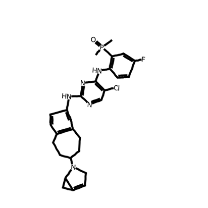 CP(C)(=O)c1cc(F)ccc1Nc1nc(Nc2ccc3c(c2)CCC(N2CC=C4CC42)CC3)ncc1Cl